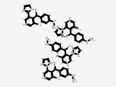 COC(c1ccc(OC(F)(F)F)cc1)c1c(F)cncc1-n1nccn1.FC(c1ccc(OC(F)(F)F)cc1)c1c(Cl)cncc1-n1nccn1.Fc1cncc(-c2ncco2)c1C(F)c1ccc(SC(F)(F)F)cc1.Fc1cncc(-n2nccn2)c1C(F)c1ccc(OC(F)(F)F)cc1